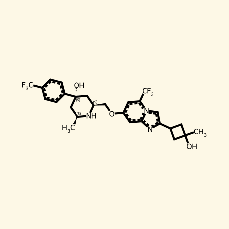 C[C@H]1C[C@@](O)(c2ccc(C(F)(F)F)cc2)C[C@@H](COc2cc(C(F)(F)F)n3cc(C4CC(C)(O)C4)nc3c2)N1